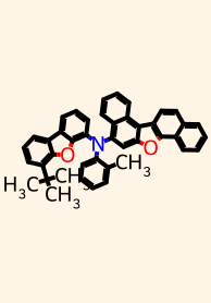 Cc1ccccc1N(c1cc2oc3c4ccccc4ccc3c2c2ccccc12)c1cccc2c1oc1c(C(C)(C)C)cccc12